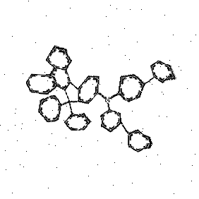 c1ccc(-c2ccc(N(c3cccc(-c4ccccc4)c3)c3ccc4c(c3)C(c3ccccc3)(c3ccccc3)c3c-4c4ccccc4c4ccccc34)cc2)cc1